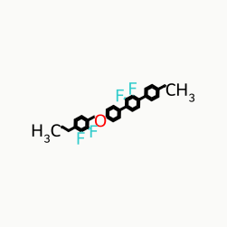 CCCc1ccc(COc2ccc(-c3ccc(-c4ccc(CC)cc4)c(F)c3F)cc2)c(F)c1F